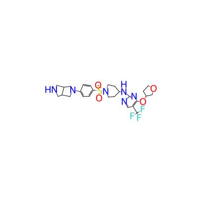 O=S(=O)(c1ccc(N2CC3CNCC3C2)cc1)N1CCC(Nc2ncc(C(F)(F)F)c(O[C@H]3CCOC3)n2)CC1